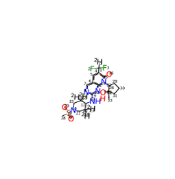 [2H]C(F)(F)c1cc2cnc(NC3C([2H])([2H])CN(S(C)(=O)=O)CC3([2H])[2H])nc2n([C@H]2CCC[C@]2(C)O)c1=O